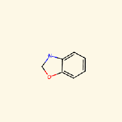 c1ccc2c(c1)[N]CO2